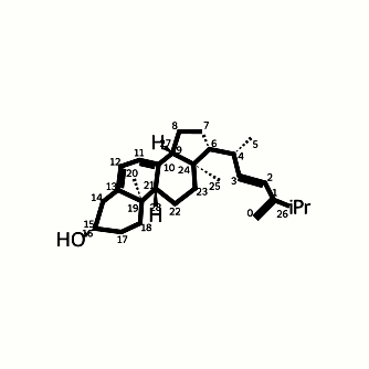 C=C(C=C[C@@H](C)[C@H]1CC[C@H]2C3=CC=C4C[C@@H](O)CC[C@]4(C)[C@H]3CC[C@]12C)C(C)C